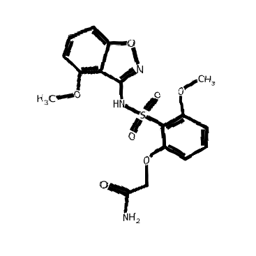 COc1cccc(OCC(N)=O)c1S(=O)(=O)Nc1noc2cccc(OC)c12